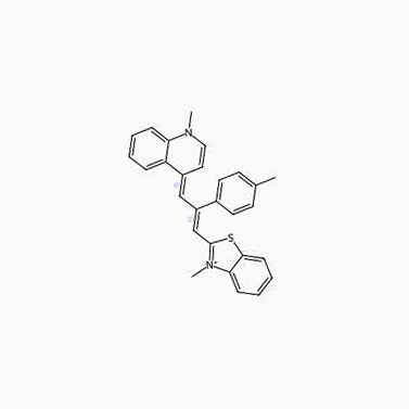 Cc1ccc(C(=C\c2sc3ccccc3[n+]2C)/C=C2\C=CN(C)c3ccccc32)cc1